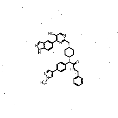 Cn1cc(-c2ccc(C(C(=O)NCc3ccccc3)[C@H]3CC[C@H](Cc4ncc(C#N)c(-c5ccc6[nH]ncc6c5)n4)CC3)cc2)cn1